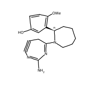 COc1ccc(O)cc1[C@H]1CCCCCN1C1=NC(N)=NC#CC1